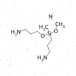 CO[Si](C)(CCCN)OCCCN.[N]